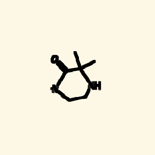 CC1(C)NCC[N]C1=O